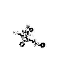 CCCCC(NC(=O)[C@H](CCCCNC(=O)OCc1ccccc1)NC(=O)N1CCOCC1)P(=O)(OC)O[C@@H](C)C(=O)N1CCC[C@H]1C(=O)O